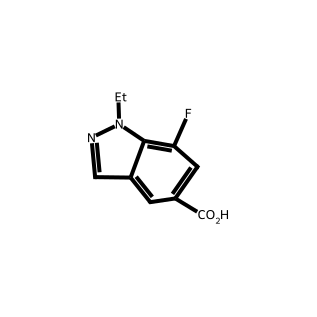 CCn1ncc2cc(C(=O)O)cc(F)c21